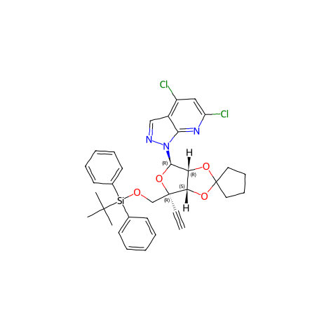 C#C[C@]1(CO[Si](c2ccccc2)(c2ccccc2)C(C)(C)C)O[C@@H](n2ncc3c(Cl)cc(Cl)nc32)[C@@H]2OC3(CCCC3)O[C@@H]21